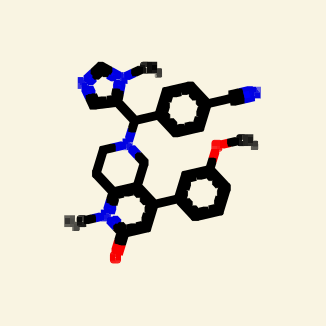 COc1cccc(-c2cc(=O)n(C)c3c2CN(C(c2ccc(C#N)cc2)c2cncn2C)CC3)c1